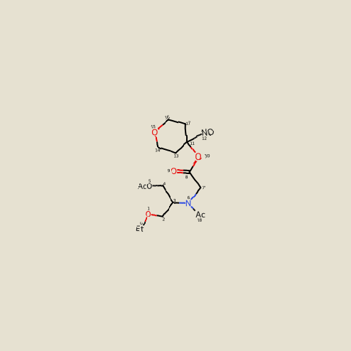 CCOCC(COC(C)=O)N(CC(=O)OC1(N=O)CCOCC1)C(C)=O